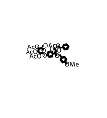 COc1ccc(COc2c(OC(=O)c3ccccc3)c(=O)oc3cc(O[C@@H]4O[C@H](COC(C)=O)[C@H](OC(C)=O)[C@H](OC(C)=O)[C@H]4OC(C)=O)ccc23)cc1